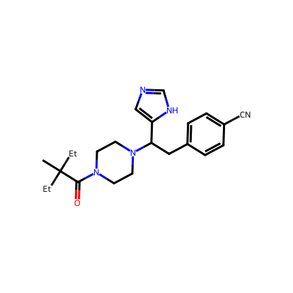 CCC(C)(CC)C(=O)N1CCN(C(Cc2ccc(C#N)cc2)c2cnc[nH]2)CC1